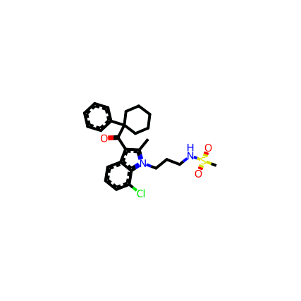 Cc1c(C(=O)C2(c3ccccc3)CCCCC2)c2cccc(Cl)c2n1CCCNS(C)(=O)=O